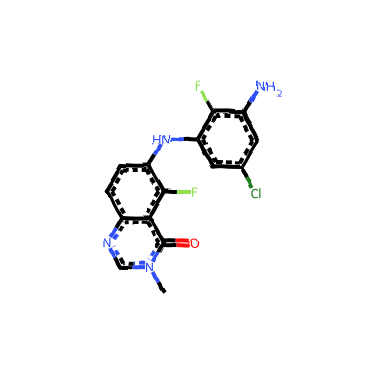 Cn1cnc2ccc(Nc3cc(Cl)cc(N)c3F)c(F)c2c1=O